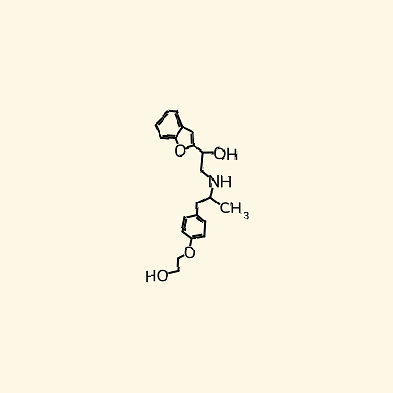 CC(Cc1ccc(OCCO)cc1)NCC(O)c1cc2ccccc2o1